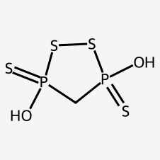 OP1(=S)CP(O)(=S)SS1